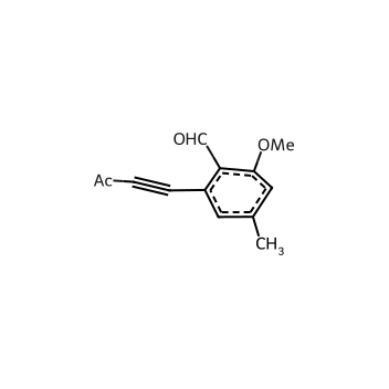 COc1cc(C)cc(C#CC(C)=O)c1C=O